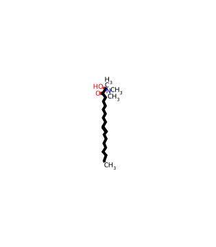 CCCCCCCCC=CCCCCCCCC(=O)C(C)(O)N(C)C